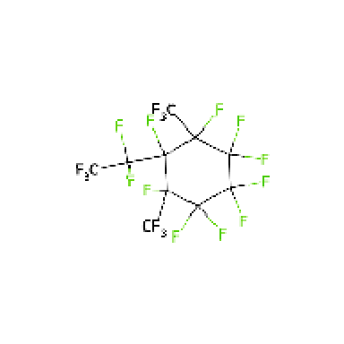 FC(F)(F)C(F)(F)C1(F)C(F)(C(F)(F)F)C(F)(F)C(F)(F)C(F)(F)C1(F)C(F)(F)F